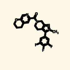 Cn1nc2c(c1-c1cc(F)c(F)c(F)c1)CCN(C(=O)c1cc3c(cn1)OCCC3)C2